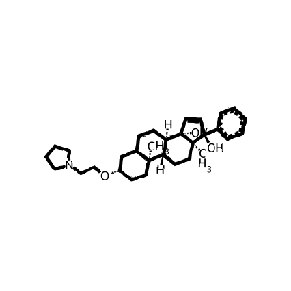 C[C@]12CC[C@H]3[C@@H](CCC4C[C@@H](OCCN5CCCC5)CC[C@@]43C)[C@@]1(O)C=C[C@]2(O)c1ccccc1